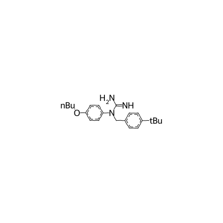 CCCCOc1ccc(N(Cc2ccc(C(C)(C)C)cc2)C(=N)N)cc1